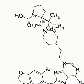 CC(C)(C)[C@]1(C(=O)N2CCC(CCn3cnc(N)c4nc(Sc5cc6c(cc5Br)OCO6)nc3-4)CC2)CCCN1C(=O)O